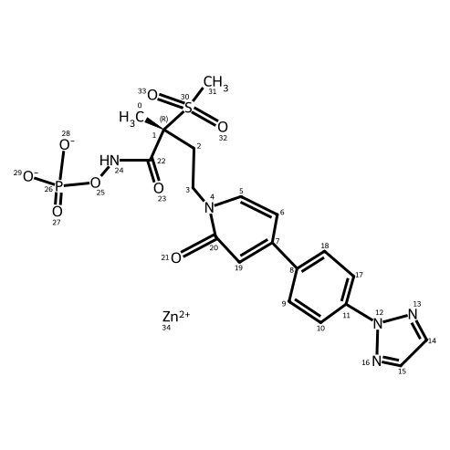 C[C@@](CCn1ccc(-c2ccc(-n3nccn3)cc2)cc1=O)(C(=O)NOP(=O)([O-])[O-])S(C)(=O)=O.[Zn+2]